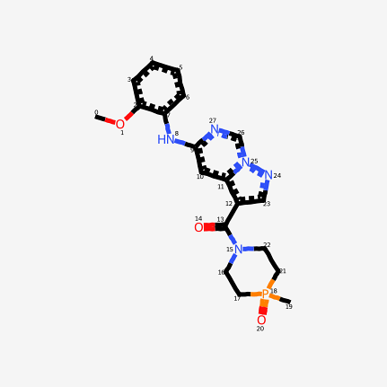 COc1ccccc1Nc1cc2c(C(=O)N3CCP(C)(=O)CC3)cnn2cn1